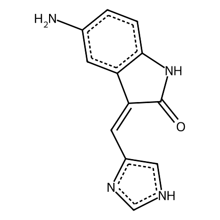 Nc1ccc2c(c1)/C(=C/c1c[nH]cn1)C(=O)N2